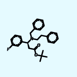 CC(C)(C)OC(=O)C[C@@H](c1cccc(F)c1)N(CCc1ccccc1)Cc1ccccc1